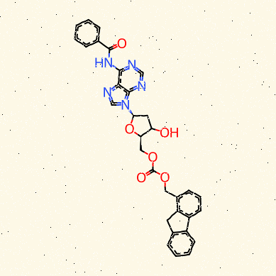 O=C(OCc1cccc2c1Cc1ccccc1-2)OC[C@H]1O[C@@H](n2cnc3c(NC(=O)c4ccccc4)ncnc32)CC1O